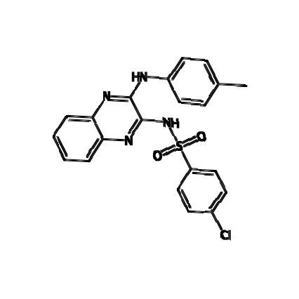 Cc1ccc(Nc2nc3ccccc3nc2NS(=O)(=O)c2ccc(Cl)cc2)cc1